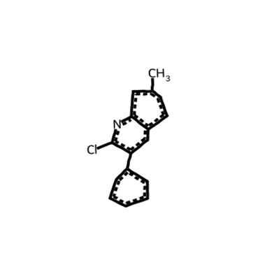 Cc1ccc2cc(-c3ccccc3)c(Cl)nc2c1